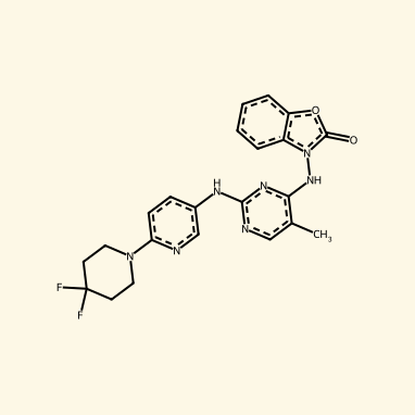 Cc1cnc(Nc2ccc(N3CCC(F)(F)CC3)nc2)nc1Nn1c(=O)oc2ccccc21